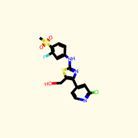 CS(=O)(=O)c1ccc(Nc2nc(-c3ccnc(Cl)c3)c(CO)s2)cc1F